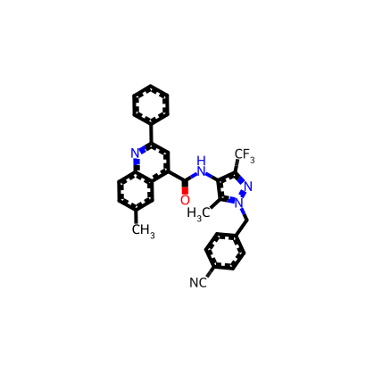 Cc1ccc2nc(-c3ccccc3)cc(C(=O)Nc3c(C(F)(F)F)nn(Cc4ccc(C#N)cc4)c3C)c2c1